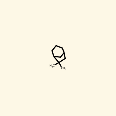 CC1(C)CC2CCC[C]1C2